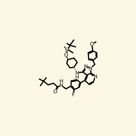 COc1ccc(Cn2nc(N[C@H]3CC[C@H](O[Si](C)(C)C(C)(C)C)CC3)c3c(-c4ccc(CNC(=O)CCC(C)(C)C)c(F)c4)ccnc32)cc1